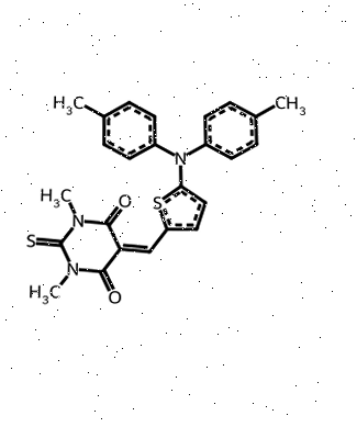 Cc1ccc(N(c2ccc(C)cc2)c2ccc(C=C3C(=O)N(C)C(=S)N(C)C3=O)s2)cc1